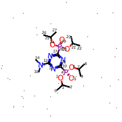 CC(C)OP(=O)(OC(C)C)c1nc(N(C)C)nc(P(=O)(OC(C)C)OC(C)C)n1